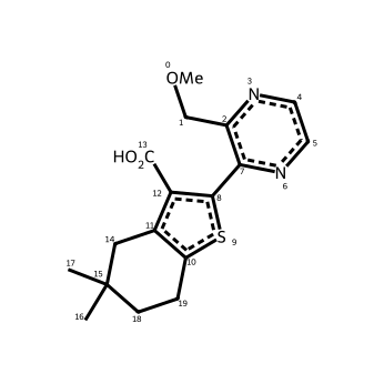 COCc1nccnc1-c1sc2c(c1C(=O)O)CC(C)(C)CC2